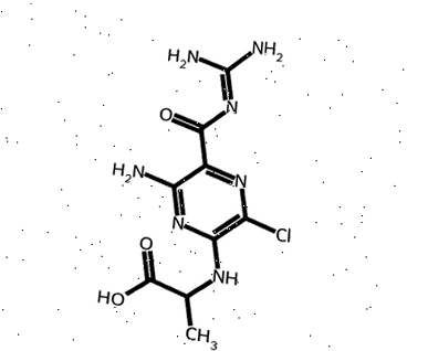 CC(Nc1nc(N)c(C(=O)N=C(N)N)nc1Cl)C(=O)O